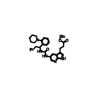 CC(C)CC(NC(=O)Nc1cnc2[nH]cc(CCC(=O)OC(C)(C)C)c2c1)c1ccccc1N1CCCCC1